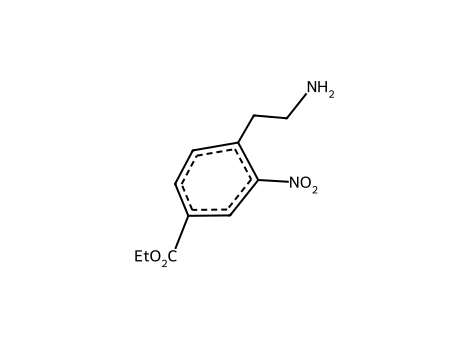 CCOC(=O)c1ccc(CCN)c([N+](=O)[O-])c1